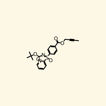 CC#CCOC(=O)c1ccc(S(=O)(=NC(=O)OC(C)(C)C)c2ccccn2)cc1